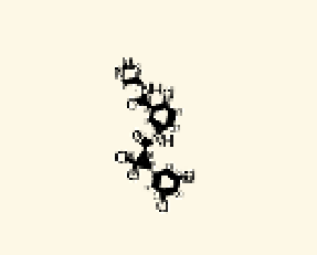 O=C(Nc1cnns1)c1cc(NC(=O)[C@H]2[C@H](c3cc(Cl)cc(Cl)c3)C2(Cl)Cl)ccc1Cl